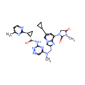 Cc1ccnc([C@H]2C[C@@H]2C(=O)Nc2nncc(N(C)Cc3cn4cc(C5CC5)cc(N5CC(=O)N(C)C5=O)c4n3)n2)n1